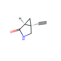 C#C[C@]12CNC(=O)[C@H]1C2